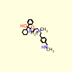 CNCc1ccc(CC[N+](C)(C)Cc2cnc(C(O)(c3ccccc3)C3CCCCC3)o2)cc1